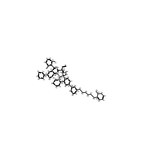 C=CC(=C)c1nc(-c2c(C)cccc2C)c2cc(-c3ccccc3)ccc2[n+]1[C@@H]1[n+]2ccccc2-c2cc(-c3cccc(CCCCCCC4=CC=CCC4C)c3)ccc2C1(CC)CC